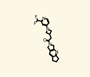 O=C(CC1CN(c2ccnc(C(F)F)c2)C1)N1Cc2cc3c(nc2C1)CCC3